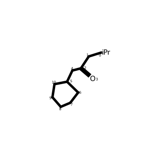 CC(C)CC(=O)CC1CCCCC1